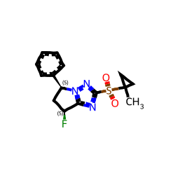 CC1(S(=O)(=O)c2nc3n(n2)[C@H](c2ccccc2)C[C@@H]3F)CC1